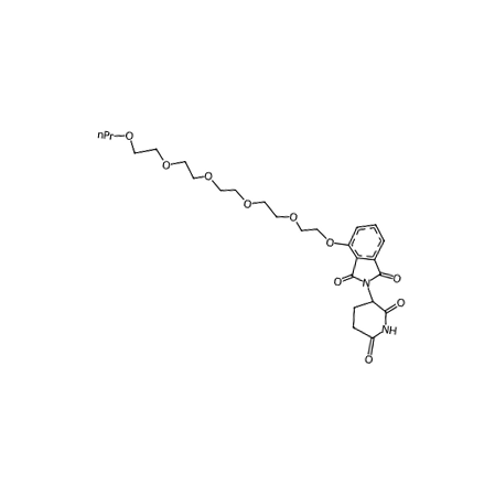 CCCOCCOCCOCCOCCOCCOc1cccc2c1C(=O)N(C1CCC(=O)NC1=O)C2=O